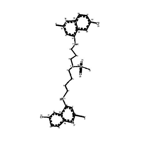 Cc1cc(NCCCCN(CCCNc2cc(C)nc3ccc(Cl)cc23)S(C)(=O)=O)c2cc(Cl)ccc2n1